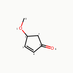 COC1C=CC(=O)C1